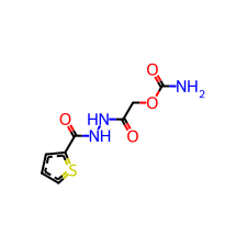 NC(=O)OCC(=O)NNC(=O)c1cccs1